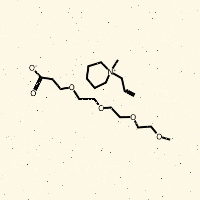 C=CC[N+]1(C)CCCCC1.COCCOCCOCCOCCC(=O)[O-]